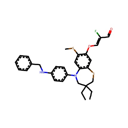 CCC1(CC)CSc2cc(O/C=C(\F)C=O)c(SC)cc2N(c2ccc(NCc3ccccc3)cc2)C1